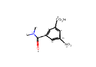 CN(C)C(=O)c1cc(C(=O)O)cc([N+](=O)[O-])c1